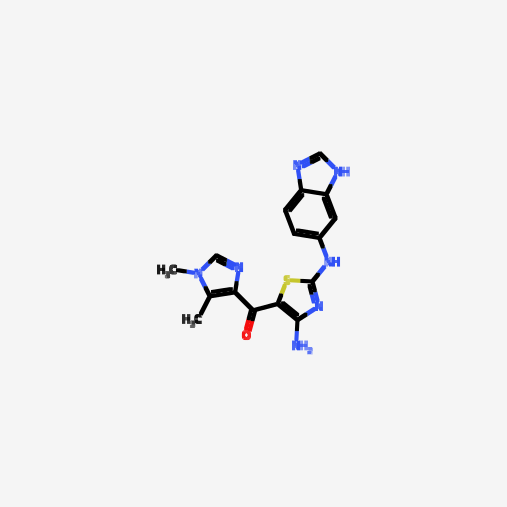 Cc1c(C(=O)c2sc(Nc3ccc4nc[nH]c4c3)nc2N)ncn1C